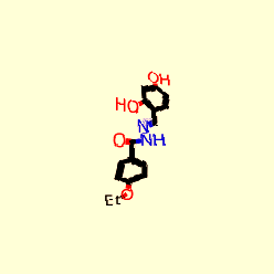 CCOc1ccc(C(=O)N/N=C/c2ccc(O)cc2O)cc1